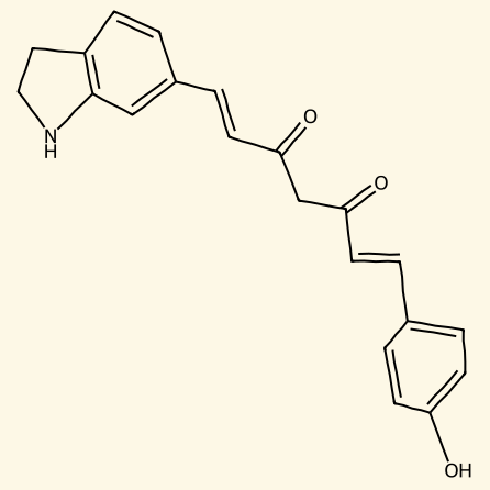 O=C(C=Cc1ccc(O)cc1)CC(=O)C=Cc1ccc2c(c1)NCC2